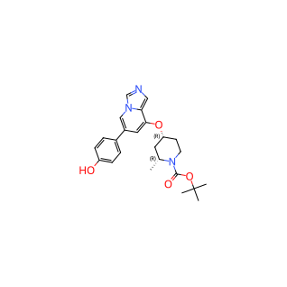 C[C@@H]1C[C@H](Oc2cc(-c3ccc(O)cc3)cn3cncc23)CCN1C(=O)OC(C)(C)C